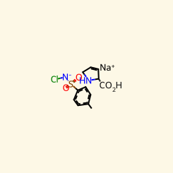 Cc1ccc(S(=O)(=O)[N-]Cl)cc1.O=C(O)C1C=CCN1.[Na+]